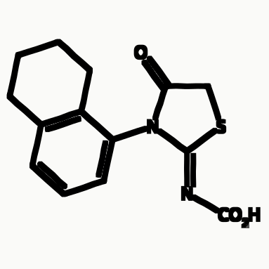 O=C(O)N=C1SCC(=O)N1c1cccc2c1CCCC2